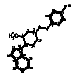 CC1CN(CCc2ccc(F)cc2)CCC1n1ccc2ccccc21